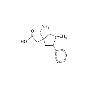 CC1CC(CN)(CC(=O)O)CC1c1ccccc1